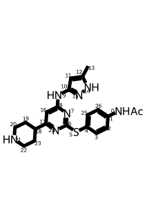 CC(=O)Nc1ccc(Sc2nc(Nc3cc(C)[nH]n3)cc(C3CCNCC3)n2)cc1